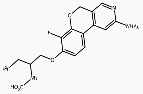 CC(=O)Nc1cc2c(cn1)COc1c-2ccc(OCC(CC(C)C)NC(=O)O)c1F